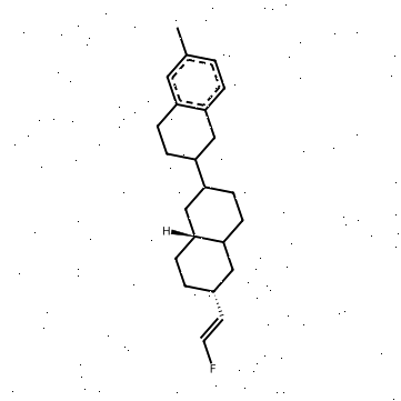 Cc1ccc2c(c1)CCC(C1CCC3C[C@H](C=CF)CC[C@@H]3C1)C2